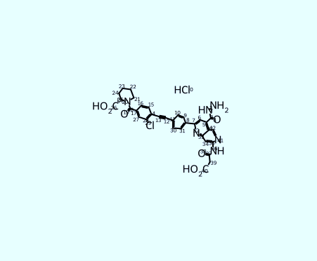 Cl.NNC(=O)c1cc(-c2ccc(C#Cc3ccc(C(=O)N4CCCC[C@H]4C(=O)O)cc3Cl)cc2)nc2cc(NC(=O)CC(=O)O)ncc12